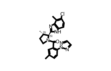 Cc1ccc(-n2nccn2)c(C(=O)N2CC[C@H](C)[C@H]2c2nc3c(C)c(Cl)ccc3[nH]2)c1